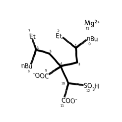 CCCCC(CC)CC(CC(CC)CCCC)(C(=O)[O-])C(C(=O)[O-])S(=O)(=O)O.[Mg+2]